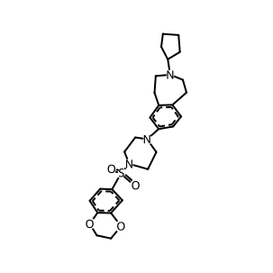 O=S(=O)(c1ccc2c(c1)OCCO2)N1CCN(c2ccc3c(c2)CCN(C2CCCC2)CC3)CC1